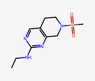 CCNc1ncc2c(n1)CN(S(C)(=O)=O)CC2